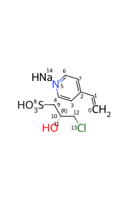 C=Cc1ccncc1.O=S(=O)(O)C[C@@H](O)CCl.[NaH]